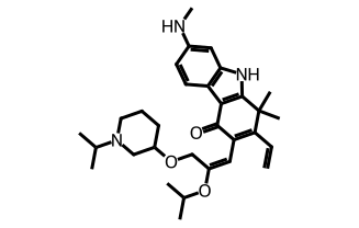 C=CC1=C(/C=C(\COC2CCCN(C(C)C)C2)OC(C)C)C(=O)c2c([nH]c3cc(NC)ccc23)C1(C)C